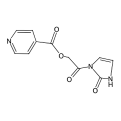 O=C(OCC(=O)n1cc[nH]c1=O)c1ccncc1